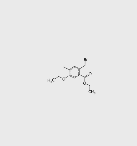 CCOC(=O)c1cc(OCC)c(I)cc1CBr